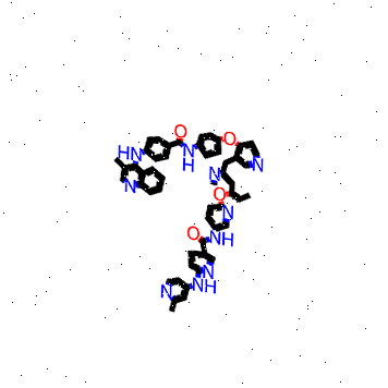 C=N/C(=C\C(=C/C)Oc1ccc(NC(=O)c2ccc(Nc3ccnc(C)c3)nc2)cn1)Cc1cnccc1Oc1ccc(NC(=O)c2ccc(Nc3c(C)cnc4ccccc34)cc2)cc1